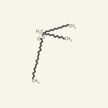 CCCCCCCCCCCCCCCCCCCC(=O)OCC(C)(CCCCCCCCCC)CCCCCCCCCCCC